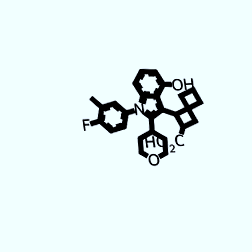 Cc1cc(-n2c(C3CCOCC3)c(C3C(C(=O)O)CC34CCC4)c3c(O)cccc32)ccc1F